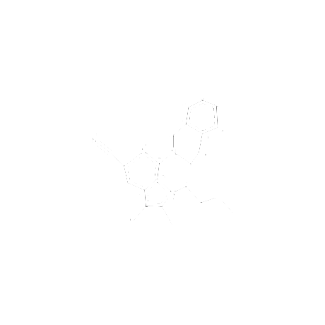 COCCn1c(C)c(C)c2cc(C#N)nc(N3CCc4ccccc4C3)c21